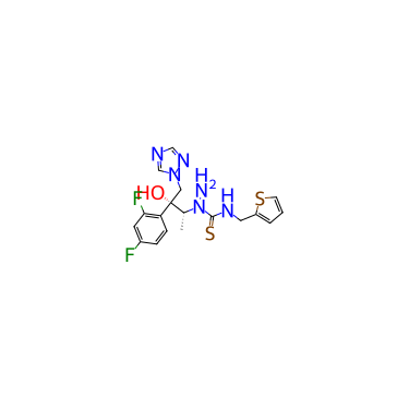 C[C@@H](N(N)C(=S)NCc1cccs1)[C@](O)(Cn1cncn1)c1ccc(F)cc1F